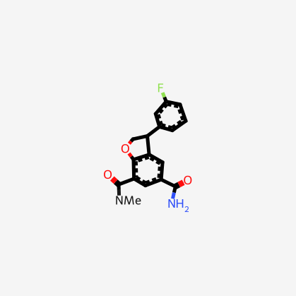 CNC(=O)c1cc(C(N)=O)cc2c1OCC2c1cccc(F)c1